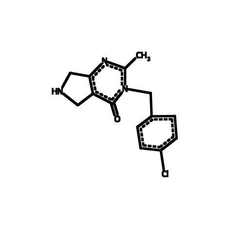 Cc1nc2c(c(=O)n1Cc1ccc(Cl)cc1)CNC2